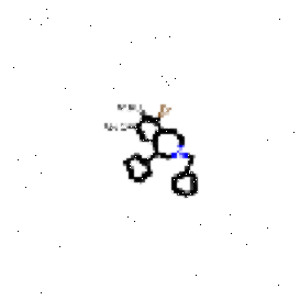 COc1cc2c(c(Br)c1OC)CCN(Cc1ccccc1)CC2c1ccccc1